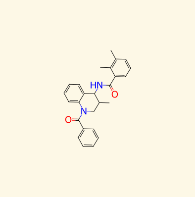 Cc1cccc(C(=O)NC2c3ccccc3N(C(=O)c3ccccc3)CC2C)c1C